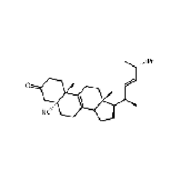 CC(C)[C@@H](C)/C=C/[C@@H](C)[C@H]1CCC2C3=C(CC[C@@]21C)[C@@]1(C)CCC(=O)C[C@]1(C#N)CC3